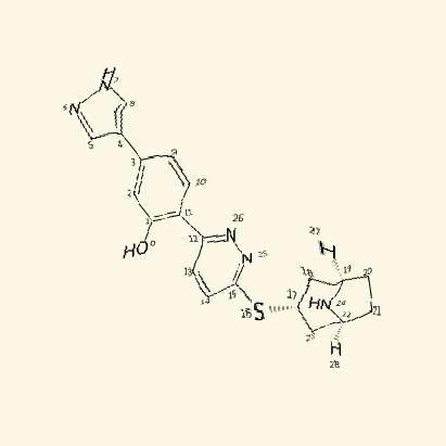 Oc1cc(-c2cn[nH]c2)ccc1-c1ccc(S[C@@H]2C[C@H]3CC[C@@H](C2)N3)nn1